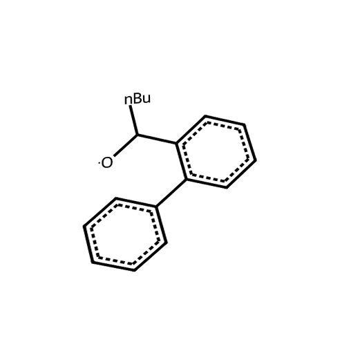 CCCCC([O])c1ccccc1-c1ccccc1